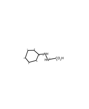 O=C(O)NNC1CCCCC1